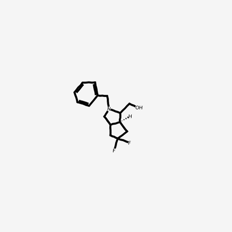 OCC1[C@H]2CC(F)(F)CC2CN1Cc1ccccc1